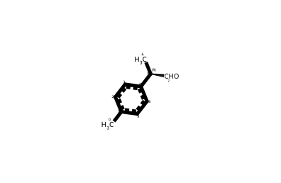 Cc1ccc([C@@H](C)C=O)cc1